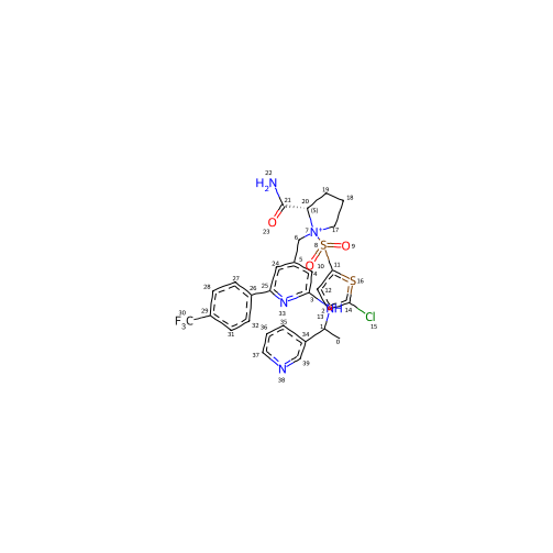 CC(Nc1cc(C[N+]2(S(=O)(=O)c3ccc(Cl)s3)CCC[C@H]2C(N)=O)cc(-c2ccc(C(F)(F)F)cc2)n1)c1cccnc1